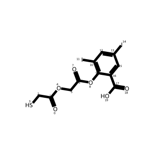 O=C(CS)OCC(=O)Oc1c(I)cc(I)cc1C(=O)O